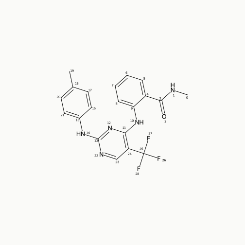 CNC(=O)c1ccccc1Nc1nc(Nc2ccc(C)cc2)ncc1C(F)(F)F